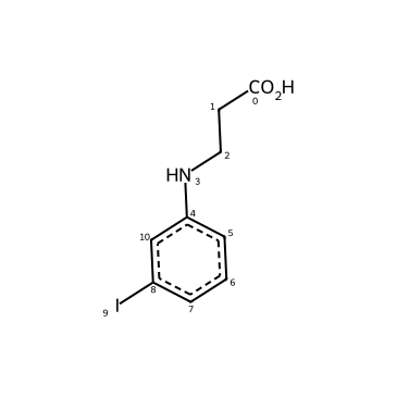 O=C(O)CCNc1cccc(I)c1